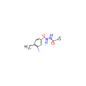 Cc1ccc(C(=O)NNC(=O)C2CC2)cc1I